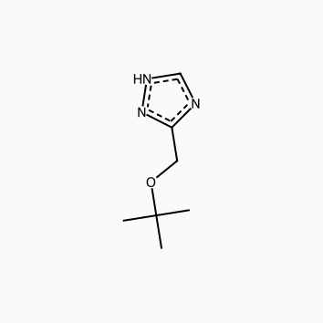 CC(C)(C)OCc1nc[nH]n1